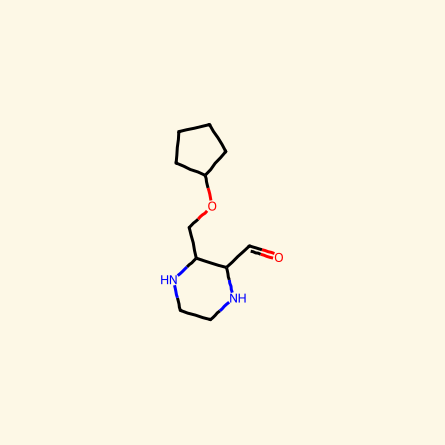 O=CC1NCCNC1COC1CCCC1